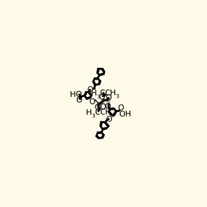 CC1(C)O[C@@H]([C@H]2OC(C)(C)O[C@@H]2COc2cc(OCc3ccc(-c4ccccc4)cc3)cc(C(=O)O)c2)[C@H](COc2cc(OCc3ccc(-c4ccccc4)cc3)cc(C(=O)O)c2)O1